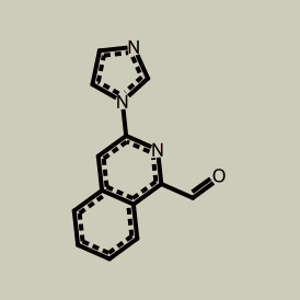 O=Cc1nc(-n2ccnc2)cc2ccccc12